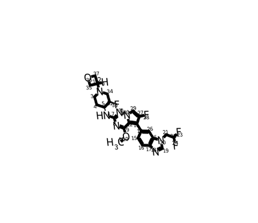 [2H]C1(N2CC[C@@H](Nc3nc(OC)c4c(-c5ccc6ncn(CC(F)F)c6c5)c(F)cn4n3)[C@H](F)C2)COC1